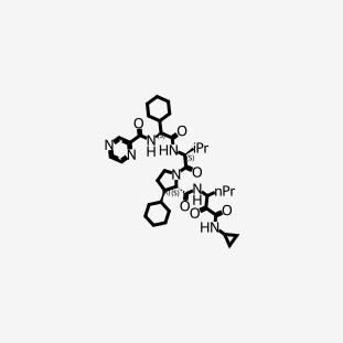 CCCC(NC(=O)[C@@H]1[C@@H](C2CCCCC2)CCN1C(=O)[C@@H](NC(=O)[C@@H](NC(=O)c1cnccn1)C1CCCCC1)C(C)C)C(=O)C(=O)NC1CC1